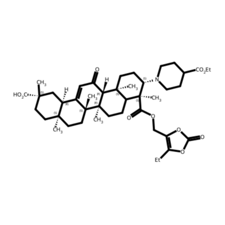 CCOC(=O)C1CCN([C@H]2CC[C@@]3(C)C(CC[C@]4(C)[C@@H]3C(=O)C=C3[C@@H]5C[C@@](C)(C(=O)O)CC[C@]5(C)CC[C@]34C)[C@]2(C)C(=O)OCc2oc(=O)oc2CC)CC1